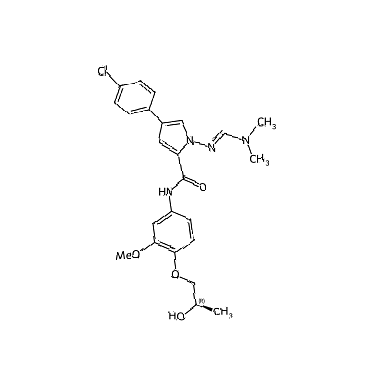 COc1cc(NC(=O)c2cc(-c3ccc(Cl)cc3)cn2N=CN(C)C)ccc1OC[C@@H](C)O